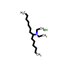 CCCCCCCC(CCCCCC)N(CC)CC.Cl